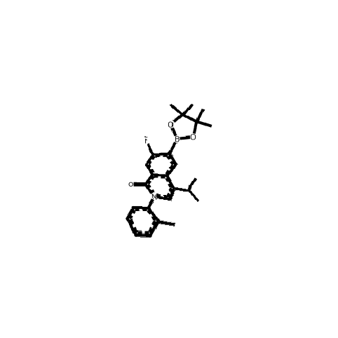 Cc1ccccc1-n1cc(C(C)C)c2cc(B3OC(C)(C)C(C)(C)O3)c(F)cc2c1=O